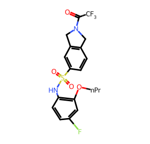 CCCOc1cc(F)ccc1NS(=O)(=O)c1ccc2c(c1)CN(C(=O)C(F)(F)F)C2